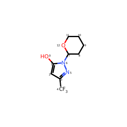 Oc1cc(C(F)(F)F)nn1C1CCCCO1